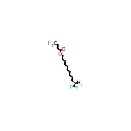 CC=CC(=O)OCCCCCCCCCC[SiH2]C(F)F